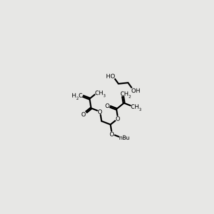 C=C(C)C(=O)OCC(OCCCC)OC(=O)C(=C)C.OCCO